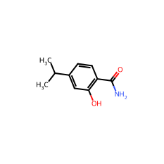 CC(C)c1ccc(C(N)=O)c(O)c1